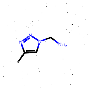 Cc1cn(CN)nn1